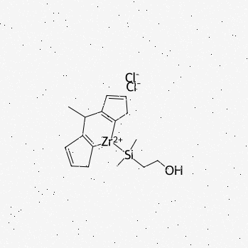 CC1C2=[C](CC=C2)[Zr+2]([Si](C)(C)CCO)[C]2=C1C=CC2.[Cl-].[Cl-]